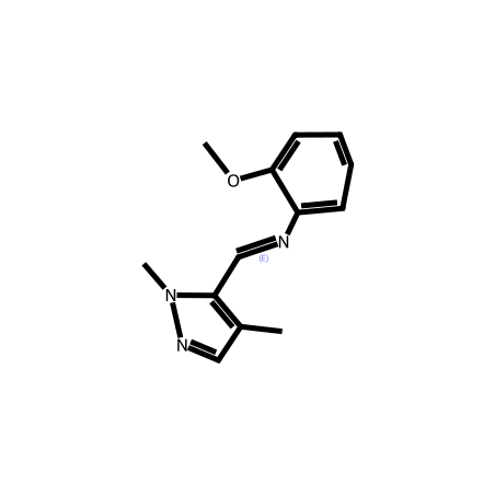 COc1ccccc1/N=C/c1c(C)cnn1C